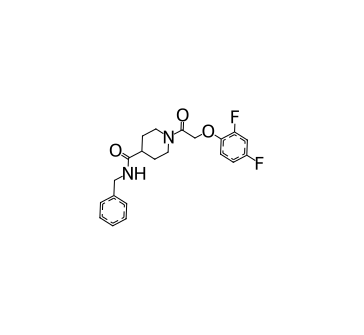 O=C(NCc1ccccc1)C1CCN(C(=O)COc2ccc(F)cc2F)CC1